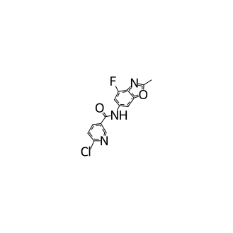 Cc1nc2c(F)cc(NC(=O)c3ccc(Cl)nc3)cc2o1